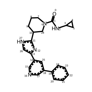 O=C(NC1CC1)N1CCCC(c2nc(-c3cncc(-c4ccccc4)c3)c[nH]2)C1